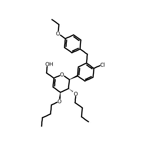 CCCCO[C@@H]1[C@@H](OCCCC)C=C(CO)O[C@H]1c1ccc(Cl)c(Cc2ccc(OCC)cc2)c1